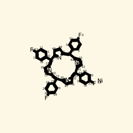 Fc1ccc(-c2c3nc(c(-c4ccc(F)cc4)c4ccc([nH]4)c(-c4ccc(F)cc4)c4nc(c(-c5ccc(F)cc5)c5ccc2[nH]5)C=C4)C=C3)cc1.[Ni]